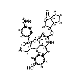 COc1ccc(S(=O)(=O)N(CC(C)C)C[C@@H](O)[C@H](Cc2ccc(O)cc2)NC(=O)O[C@H]2CO[C@H]3OCCC32)cc1